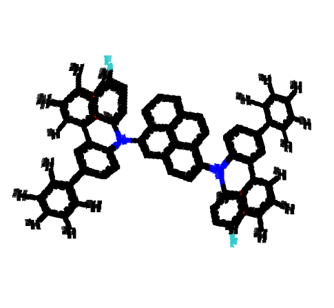 [2H]c1c([2H])c([2H])c(-c2ccc(N(c3ccc(F)cc3)c3cc4ccc(N(c5ccc(F)cc5)c5ccc(-c6c([2H])c([2H])c([2H])c([2H])c6[2H])cc5-c5c([2H])c([2H])c([2H])c([2H])c5[2H])c5ccc6cccc3c6c45)c(-c3c([2H])c([2H])c([2H])c([2H])c3[2H])c2)c([2H])c1[2H]